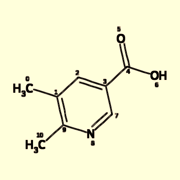 Cc1cc(C(=O)O)cnc1C